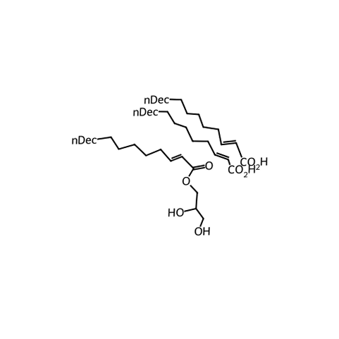 CCCCCCCCCCCCCCCC=CC(=O)O.CCCCCCCCCCCCCCCC=CC(=O)O.CCCCCCCCCCCCCCCC=CC(=O)OCC(O)CO